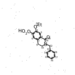 CCOc1cc2c(cc1C(=O)O)CCN(Cc1ccccc1)C2=O